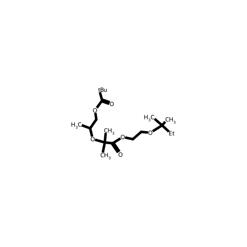 CCC(C)(C)OCCOC(=O)C(C)(C)OC(C)COC(=O)C(C)(C)C